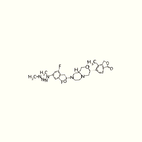 C=N/N=N\N(C)c1cc(F)c(CC(=O)N2CCN3C[C@@H](c4ccc5c(c4C)COC5=O)OC[C@H]3C2)c(F)c1